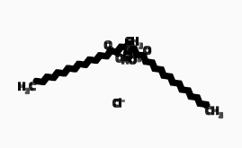 CCCCCCCCCCCCCCCC(=O)C(O)C[N+](C)(C)CC(O)C(=O)CCCCCCCCCCCCCCC.[Cl-]